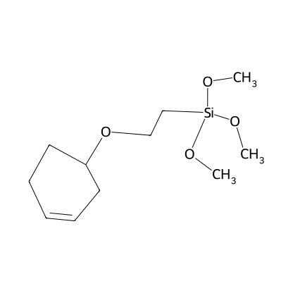 CO[Si](CCOC1CC=CCC1)(OC)OC